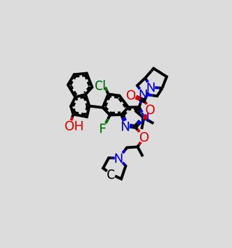 CC(CN1CCCCC1)Oc1nc(N2CC3CCC(C2)N3C(=O)OC(C)(C)C)c2cc(Cl)c(-c3cc(O)cc4ccccc34)c(F)c2n1